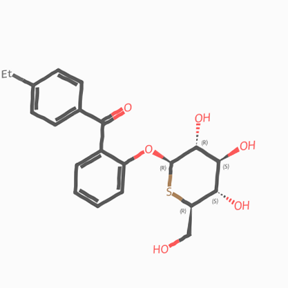 CCc1ccc(C(=O)c2ccccc2O[C@@H]2S[C@H](CO)[C@@H](O)[C@H](O)[C@H]2O)cc1